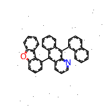 c1ccc2c(-c3c4ccccc4c(-c4cccc5oc6ccccc6c45)c4cccnc34)cccc2c1